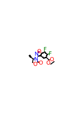 C#CC1COC(=O)N1c1noc2c(F)c(F)c(C3OCCO3)cc12